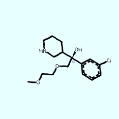 COCCOC[C@@](O)(c1cccc(Cl)c1)C1CCCNC1